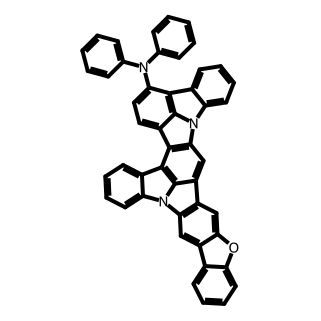 c1ccc(N(c2ccccc2)c2ccc3c4c5c6ccccc6n6c7cc8c(cc7c(cc4n4c7ccccc7c2c34)c56)oc2ccccc28)cc1